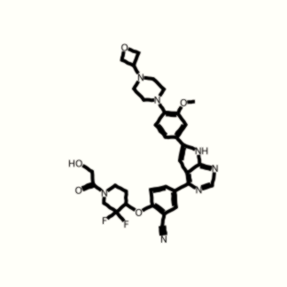 COc1cc(-c2cc3c(-c4ccc(OC5CCN(C(=O)CO)CC5(F)F)c(C#N)c4)ncnc3[nH]2)ccc1N1CCN(C2COC2)CC1